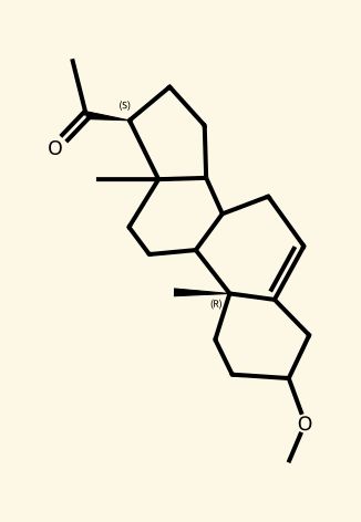 COC1CC[C@@]2(C)C(=CCC3C4CC[C@H](C(C)=O)C4(C)CCC32)C1